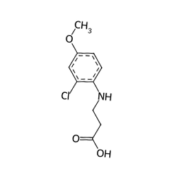 COc1ccc(NCCC(=O)O)c(Cl)c1